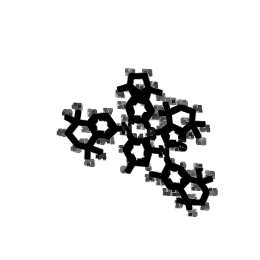 Cc1cc2c3c(c1)N(c1cc4c(cc1C)C(C)(C)CCC4(C)C)c1sc4c(c1B3c1cc3c(cc1N2c1ccc2c(c1)C(C)(C)CCC2(C)C)C1(C)CCC3(C)C1)C(C)(C)CCC4(C)C